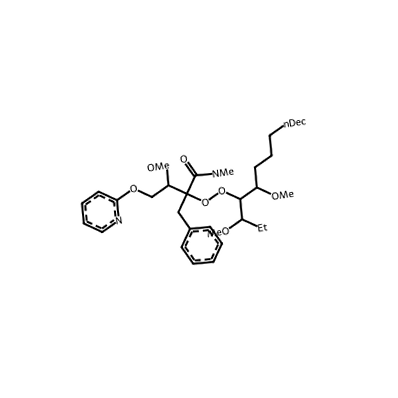 CCCCCCCCCCCCCC(OC)C(OOC(Cc1ccccc1)(C(=O)NC)C(COc1ccccn1)OC)C(CC)OC